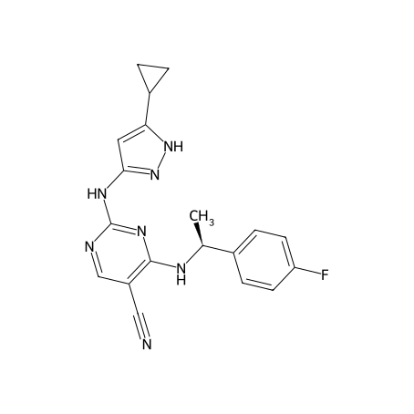 C[C@H](Nc1nc(Nc2cc(C3CC3)[nH]n2)ncc1C#N)c1ccc(F)cc1